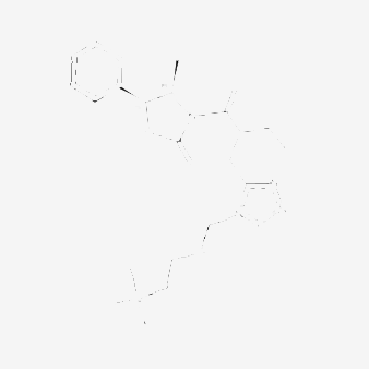 CC(C)CC(Cc1nnnn1COCC[Si](C)(C)C)C(=O)N1C(=O)O[C@@H](c2ccccc2)[C@H]1C